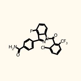 NC(=O)c1ccc(-c2nn(C(=O)c3c(Cl)cccc3C(F)(F)F)c3cccc(F)c23)cc1